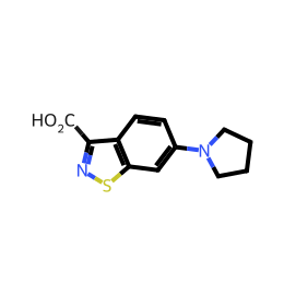 O=C(O)c1nsc2cc(N3CCCC3)ccc12